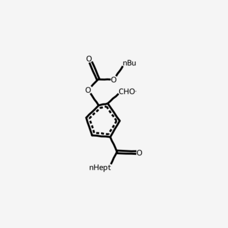 CCCCCCCC(=O)c1ccc(OC(=O)OCCCC)c([C]=O)c1